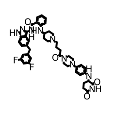 O=C1CCC(Nc2ccc(N3CCN(C(=O)CCCN4CCC(Nc5ccccc5C(=O)Nc5n[nH]c6ccc(Cc7cc(F)cc(F)c7)cc56)CC4)CC3)cc2)C(=O)N1